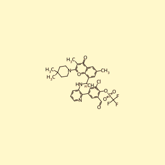 Cc1cc([C@@H](C)Nc2cccnc2-c2cc(Cl)c(OS(=O)(=O)C(F)(F)F)c(C=O)c2)c2oc(N3CCC(C)(C)CC3)c(C)c(=O)c2c1